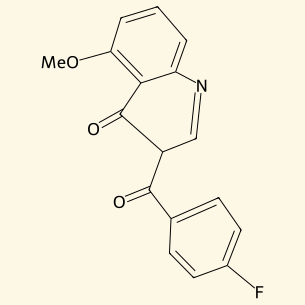 COc1cccc2c1C(=O)C(C(=O)c1ccc(F)cc1)C=N2